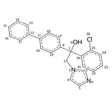 OC(Cn1ccnc1)(c1ccc(-c2ccccc2)cc1)c1ccccc1Cl